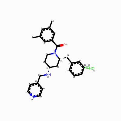 Cc1cc(C)cc(C(=O)N2CC[C@@H](NCc3ccncc3)C[C@H]2Cc2ccccc2)c1.Cl.Cl